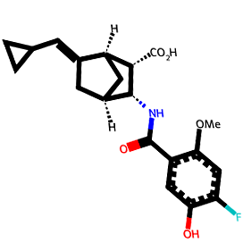 COc1cc(F)c(O)cc1C(=O)N[C@@H]1[C@H]2CC(=CC3CC3)[C@H](C2)[C@@H]1C(=O)O